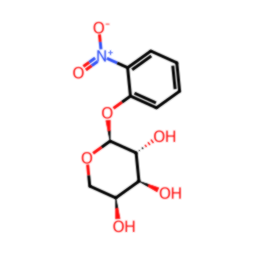 O=[N+]([O-])c1ccccc1O[C@@H]1OC[C@H](O)[C@H](O)[C@H]1O